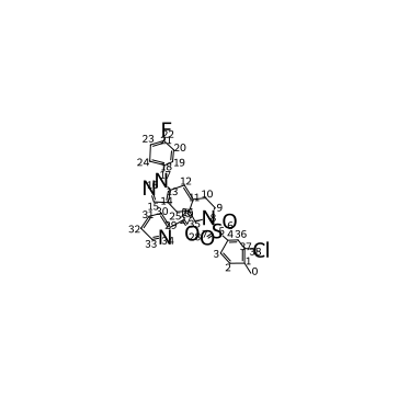 Cc1ccc(S(=O)(=O)N2CCC3=Cc4c(cnn4-c4ccc(F)cc4)C[C@]3(C(=O)c3ccccn3)C2)cc1Cl